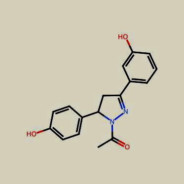 CC(=O)N1N=C(c2cccc(O)c2)CC1c1ccc(O)cc1